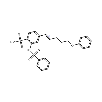 CS(=O)(=O)c1ccc(/C=C/CCCOc2[c]cccc2)cc1NS(=O)(=O)c1ccccc1